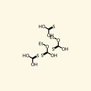 CCOC(O)=S.CCOC(O)=S.OC(O)=S.OC(O)=S